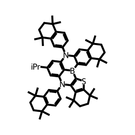 CC(C)c1cc2c3c(c1)N(c1ccc4c(c1)C(C)(C)CCC4(C)C)c1c(sc4c1C(C)(C)CCC4(C)C)B3c1cc3c(cc1N2c1ccc2c(c1)C(C)(C)CCC2(C)C)C(C)(C)CCC3(C)C